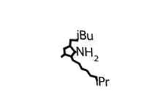 CCC(C)CCC1CC(C)C(CCCCCCC(C)C)C1N